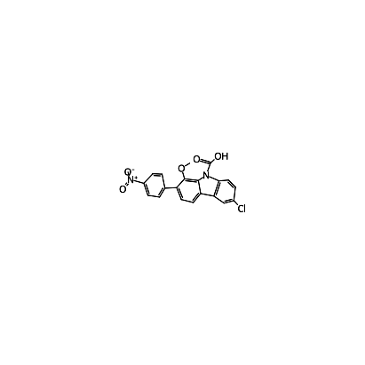 COc1c(-c2ccc([N+](=O)[O-])cc2)ccc2c3cc(Cl)ccc3n(C(=O)O)c12